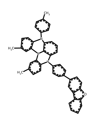 Cc1ccc(N2c3ccc(C)cc3B3c4cc(C)ccc4N(c4ccc(-c5ccc6oc7ccccc7c6c5)cc4)c4cccc2c43)cc1